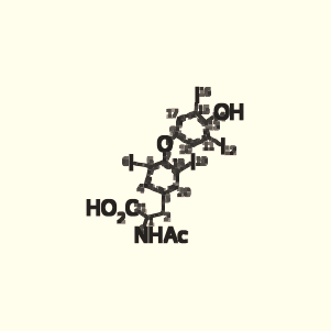 CC(=O)NC(Cc1cc(I)c(Oc2cc(I)c(O)c(I)c2)c(I)c1)C(=O)O